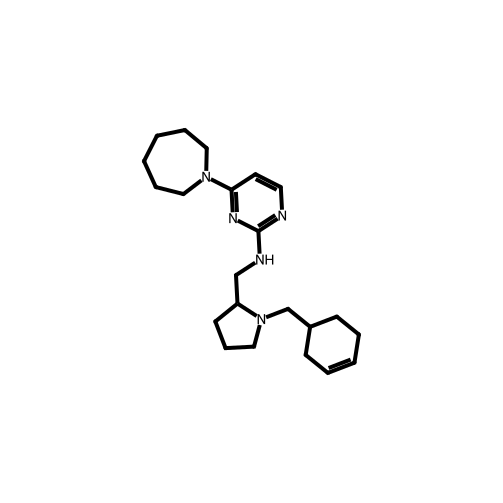 C1=CCC(CN2CCCC2CNc2nccc(N3CCCCCC3)n2)CC1